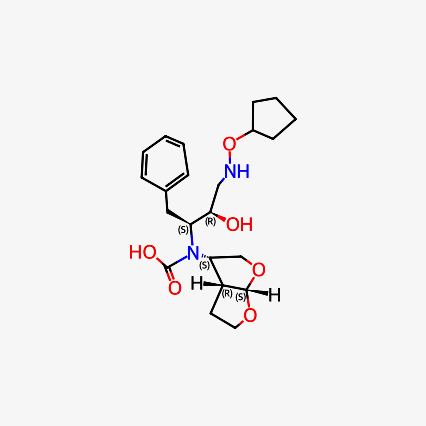 O=C(O)N([C@@H]1CO[C@@H]2OCC[C@@H]21)[C@@H](Cc1ccccc1)[C@H](O)CNOC1CCCC1